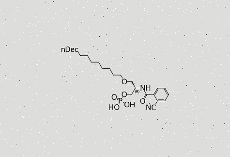 CCCCCCCCCCCCCCCCCCOC[C@H](COP(=O)(O)O)NC(=O)c1ccccc1C#N